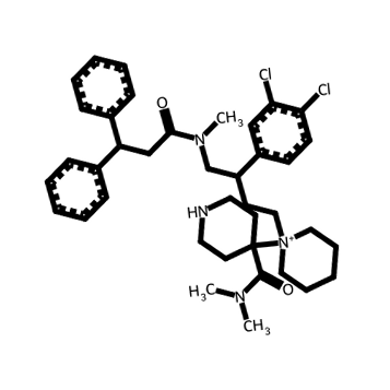 CN(C)C(=O)C1([N+]2(CCC(CN(C)C(=O)CC(c3ccccc3)c3ccccc3)c3ccc(Cl)c(Cl)c3)CCCCC2)CCNCC1